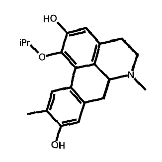 Cc1cc2c(cc1O)CC1c3c(cc(O)c(OC(C)C)c3-2)CCN1C